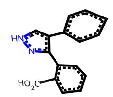 O=C(O)c1ccccc1-c1n[nH]cc1-c1ccccc1